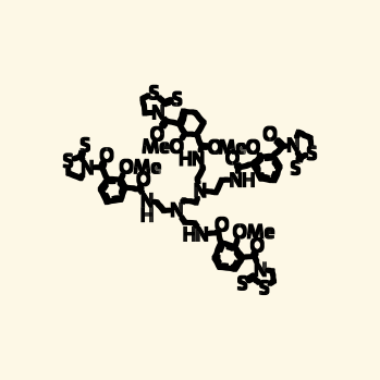 COc1c(C(=O)NCCN(CCNC(=O)c2cccc(C(=O)N3CCSC3=S)c2OC)CCN(CCNC(=O)c2cccc(C(=O)N3CCSC3=S)c2OC)CCNC(=O)C2CCC=C(C(=O)N3CCSC3=S)C2OC)cccc1C(=O)N1CCSC1=S